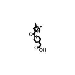 Cc1cc(C(=O)N2CCC(CC(=O)O)CC2)nn1C